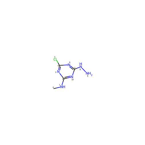 CNc1nc(Cl)nc(NN)n1